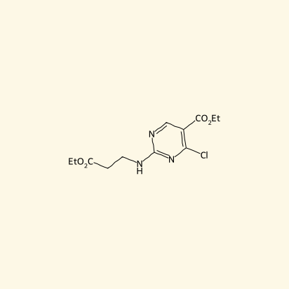 CCOC(=O)CCNc1ncc(C(=O)OCC)c(Cl)n1